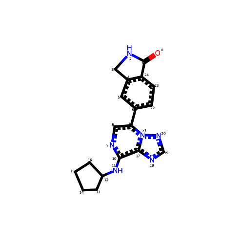 O=C1NCc2cc(-c3cnc(NC4CCCC4)c4ncnn34)ccc21